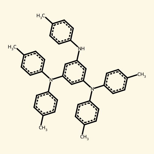 Cc1ccc(Nc2cc(N(c3ccc(C)cc3)c3ccc(C)cc3)cc(N(c3ccc(C)cc3)c3ccc(C)cc3)c2)cc1